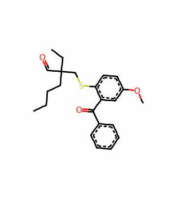 CCCCC(C=O)(CC)CSc1ccc(OC)cc1C(=O)c1ccccc1